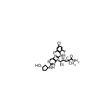 CC[C@@H](CCC(C)(C)C(N)=O)n1c(Nc2c(F)cc(Cl)cc2F)nc2cnc(N[C@H]3CC[C@H](O)C3)nc21